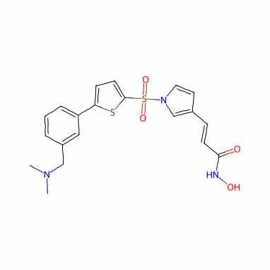 CN(C)Cc1cccc(-c2ccc(S(=O)(=O)n3ccc(C=CC(=O)NO)c3)s2)c1